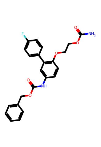 NC(=O)OCCOc1ccc(NC(=O)OCc2ccccc2)cc1-c1ccc(F)cc1